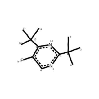 CC(C)(C)c1ncc(F)c(C(C)(C)C)n1